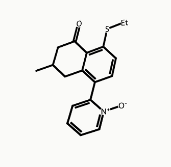 CCSc1ccc(-c2cccc[n+]2[O-])c2c1C(=O)CC(C)C2